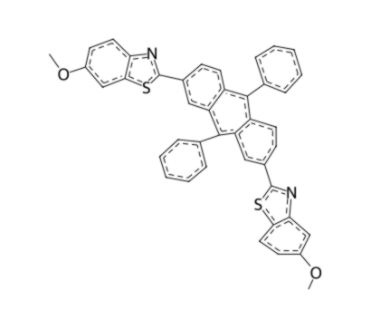 COc1ccc2sc(-c3ccc4c(-c5ccccc5)c5ccc(-c6nc7ccc(OC)cc7s6)cc5c(-c5ccccc5)c4c3)nc2c1